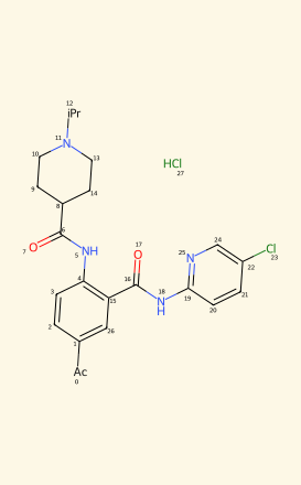 CC(=O)c1ccc(NC(=O)C2CCN(C(C)C)CC2)c(C(=O)Nc2ccc(Cl)cn2)c1.Cl